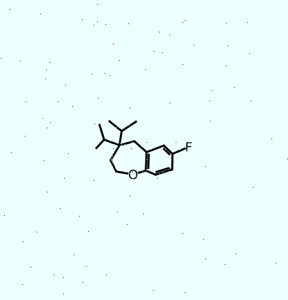 CC(C)C1(C(C)C)CCOc2ccc(F)cc2C1